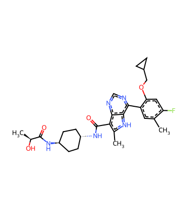 Cc1cc(-c2ncnc3c(C(=O)N[C@H]4CC[C@H](NC(=O)[C@H](C)O)CC4)c(C)[nH]c23)c(OCC2CC2)cc1F